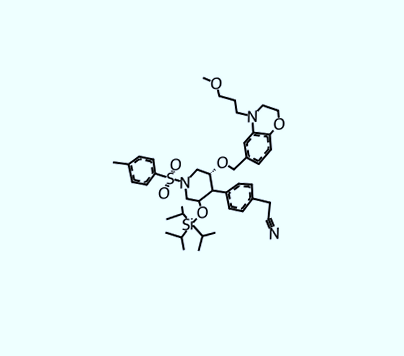 COCCCN1CCOc2ccc(CO[C@H]3CN(S(=O)(=O)c4ccc(C)cc4)CC(O[Si](C(C)C)(C(C)C)C(C)C)C3c3ccc(CC#N)cc3)cc21